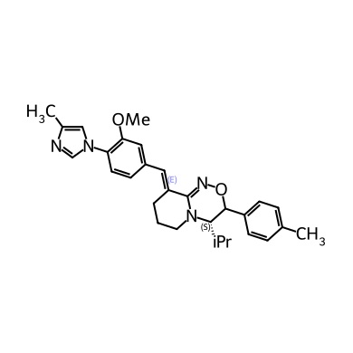 COc1cc(/C=C2\CCCN3C2=NOC(c2ccc(C)cc2)[C@@H]3C(C)C)ccc1-n1cnc(C)c1